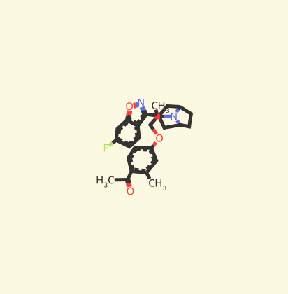 CC(=O)c1ccc(OCC(C)N2C3CCC2CC(c2noc4cc(F)ccc24)C3)cc1C